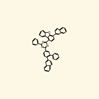 c1ccc(-c2nc(-c3ccc(-c4ccc5ccccc5c4)c(-c4ccccc4)c3)nc(-c3ccc(-c4ccc5ccccc5c4)c4oc5ccccc5c34)n2)cc1